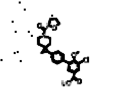 COc1c(Cl)cc(C(=O)O)cc1-c1ccc(C2CC23CCN(C(=O)[C@H]2CCCO2)CC3)cc1